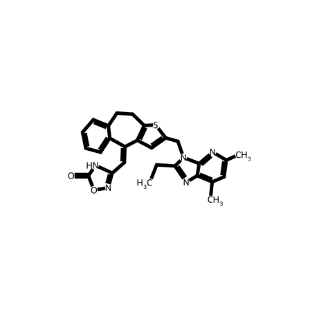 CCc1nc2c(C)cc(C)nc2n1Cc1cc2c(s1)CCc1ccccc1/C2=C\c1noc(=O)[nH]1